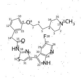 CN1CCC(CCCOc2cccc(CC(=O)Nc3nc(-c4c[nH]c5ncc(F)cc45)cs3)c2)CC1